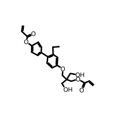 C=CC(=O)OCC(CO)(CO)COc1ccc(-c2ccc(OC(=O)C=C)cc2)c(CC)c1